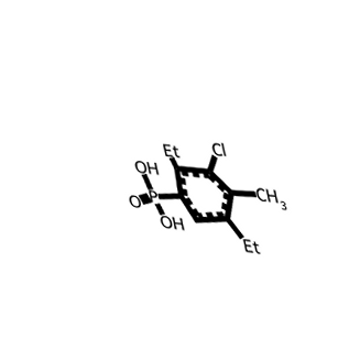 CCc1cc(P(=O)(O)O)c(CC)c(Cl)c1C